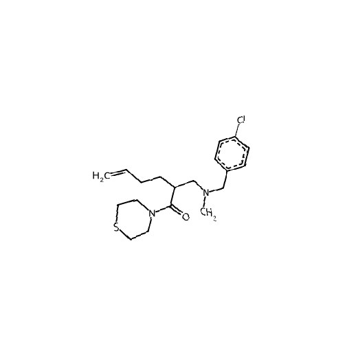 C=CCCC(CN(C)Cc1ccc(Cl)cc1)C(=O)N1CCSCC1